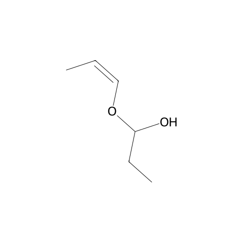 C/C=C\OC(O)CC